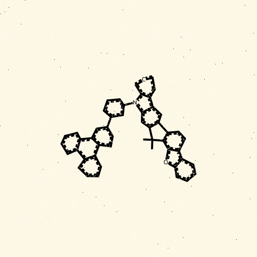 CC1(C)c2cc3c(cc2-c2ccc4c(oc5ccccc54)c21)c1ccccc1n3-c1cccc(-c2ccc3c4ccccc4c4ccccc4c3c2)c1